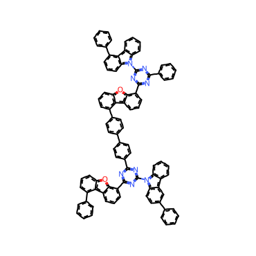 c1ccc(-c2ccc3c(c2)c2ccccc2n3-c2nc(-c3ccc(-c4ccc(-c5cccc6oc7c(-c8nc(-c9ccccc9)nc(-n9c%10ccccc%10c%10c(-c%11ccccc%11)cccc%109)n8)cccc7c56)cc4)cc3)nc(-c3cccc4c3oc3cccc(-c5ccccc5)c34)n2)cc1